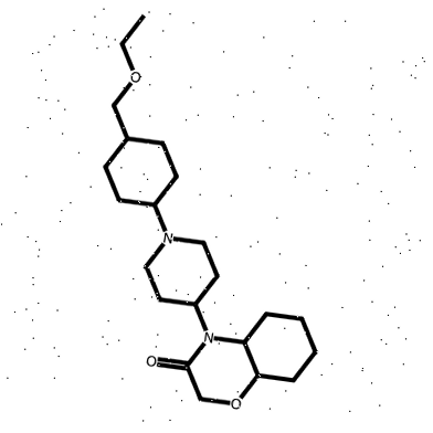 CCOCC1CCC(N2CCC(N3C(=O)COC4CCCCC43)CC2)CC1